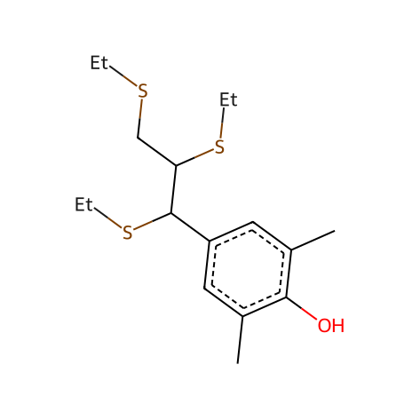 CCSCC(SCC)C(SCC)c1cc(C)c(O)c(C)c1